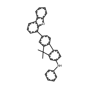 CC1(C)c2cc(Nc3ccccc3)ccc2-c2ccc(-c3cccc4c3oc3ccccc34)cc21